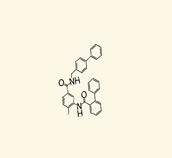 Cc1ccc(C(=O)NCc2ccc(-c3ccccc3)cc2)cc1NC(=O)c1ccccc1-c1ccccc1